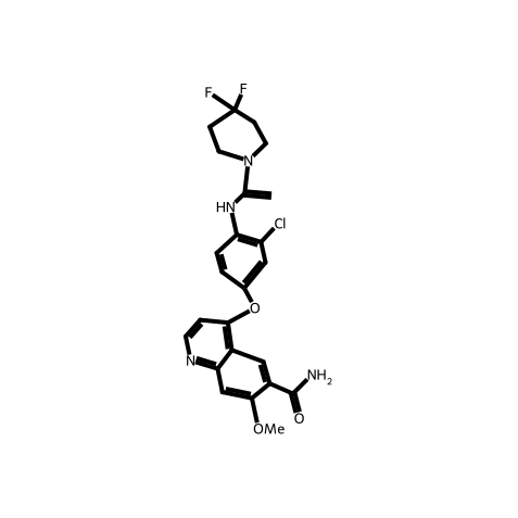 C=C(Nc1ccc(Oc2ccnc3cc(OC)c(C(N)=O)cc23)cc1Cl)N1CCC(F)(F)CC1